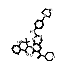 C=C(c1cc2cnc(Nc3ccc(N4CCNCC4)cc3)nc2n(C2C(=O)c3ccccc3NC2(C)C)c1=O)C1CCOCC1